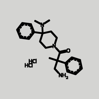 CN(C)C1(c2ccccc2)CCN(C(=O)C(C)(CN)c2ccccc2)CC1.Cl.Cl